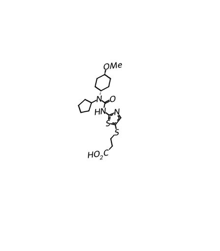 CO[C@H]1CC[C@H](N(C(=O)Nc2ncc(SCCC(=O)O)s2)C2CCCC2)CC1